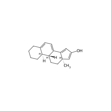 C[C@@]12C=C(O)C=C1C1=CC=C3CCCC[C@@H]3[C@H]1CC2